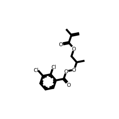 C=C(C)C(=O)OCC(C)OOC(=O)c1cccc(Cl)c1Cl